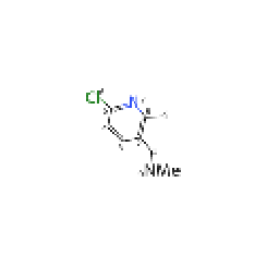 CNCc1ccc(Cl)nc1C